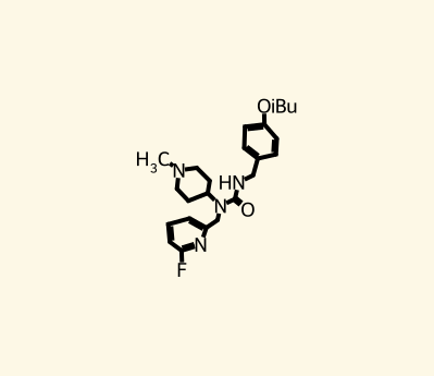 CC(C)COc1ccc(CNC(=O)N(Cc2cccc(F)n2)C2CCN(C)CC2)cc1